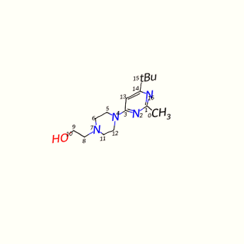 Cc1nc(N2CCN(CCO)CC2)cc(C(C)(C)C)n1